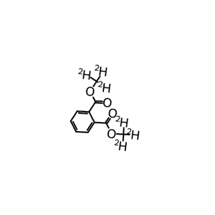 [2H]C([2H])([2H])OC(=O)c1ccccc1C(=O)OC([2H])([2H])[2H]